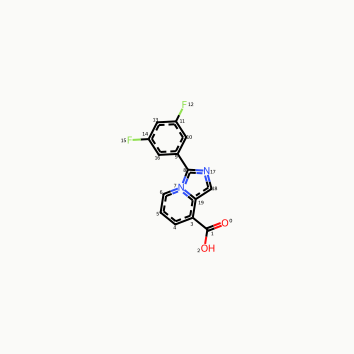 O=C(O)c1cccn2c(-c3cc(F)cc(F)c3)ncc12